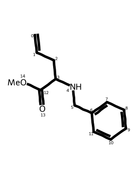 C=CCC(NCc1ccccc1)C(=O)OC